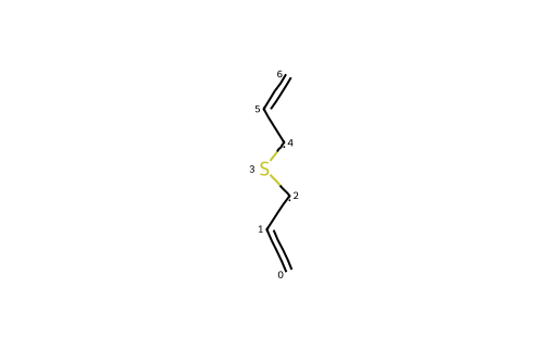 C=C[CH]S[CH]C=C